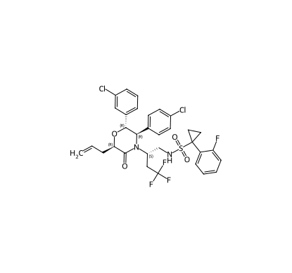 C=CC[C@H]1O[C@H](c2cccc(Cl)c2)[C@@H](c2ccc(Cl)cc2)N([C@H](CNS(=O)(=O)C2(c3ccccc3F)CC2)CC(F)(F)F)C1=O